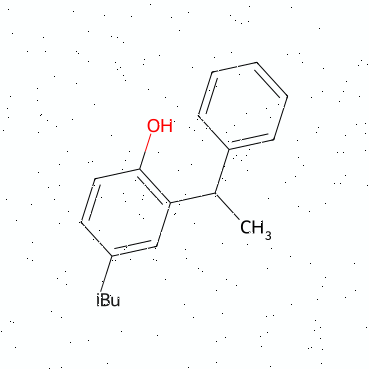 CCC(C)c1ccc(O)c(C(C)c2ccccc2)c1